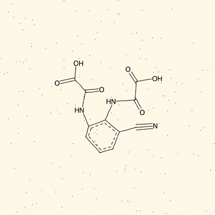 N#Cc1cccc(NC(=O)C(=O)O)c1NC(=O)C(=O)O